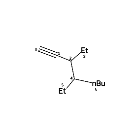 [C]#CC(CC)C(CC)CCCC